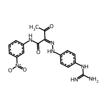 CC(=O)/C(=N/Nc1ccc(NC(=N)N)cc1)C(=O)Nc1cccc([N+](=O)[O-])c1